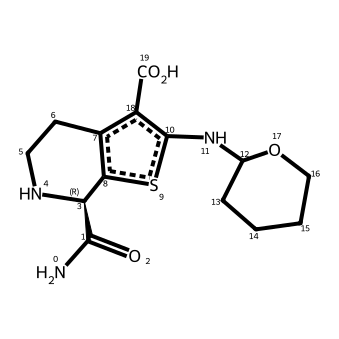 NC(=O)[C@H]1NCCc2c1sc(NC1CCCCO1)c2C(=O)O